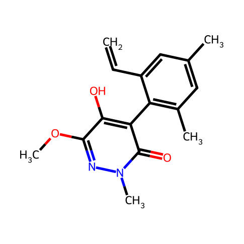 C=Cc1cc(C)cc(C)c1-c1c(O)c(OC)nn(C)c1=O